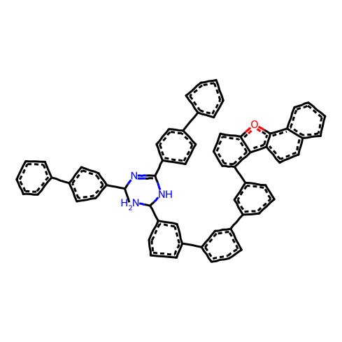 CC(/N=C(\NC(N)c1cccc(-c2cccc(-c3cccc(-c4cccc5oc6c7ccccc7ccc6c45)c3)c2)c1)c1ccc(-c2ccccc2)cc1)c1ccc(-c2ccccc2)cc1